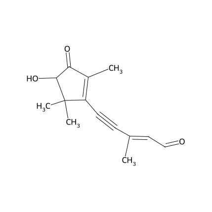 CC(C#CC1=C(C)C(=O)C(O)C1(C)C)=CC=O